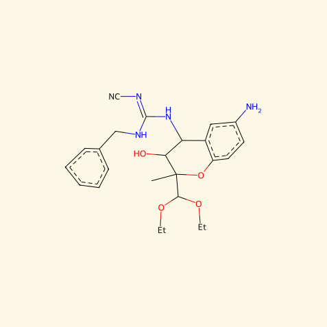 CCOC(OCC)C1(C)Oc2ccc(N)cc2C(NC(=NC#N)NCc2ccccc2)C1O